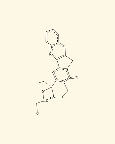 CC[C@@]1(OC(=O)CCl)C(=O)OCc2c1cc1n(c2=O)Cc2cc3ccccc3nc2-1